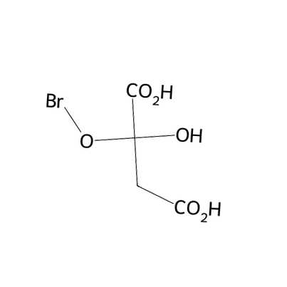 O=C(O)CC(O)(OBr)C(=O)O